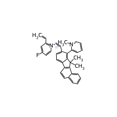 C=Cc1cc(F)cc[n+]1/C=C\c1ccc2c(c1-c1cccc[n+]1C)C(C)(C)c1c-2ccc2ccccc12